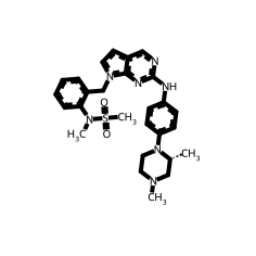 C[C@@H]1CN(C)CCN1c1ccc(Nc2ncc3ccn(Cc4ccccc4N(C)S(C)(=O)=O)c3n2)cc1